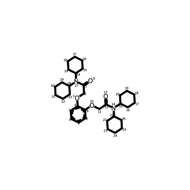 O=C(COc1ccccc1OCC(=O)N(C1CCCCC1)C1CCCCC1)N(C1CCCCC1)C1CCCCC1